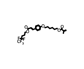 C=C(C)C(=O)OCCCCCCOc1ccc(C=CC(=O)OCCCC(F)(F)C(F)(F)F)cc1